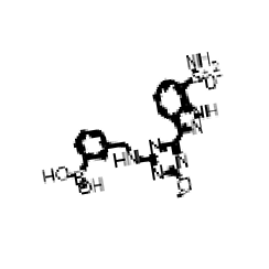 COc1nc(NCc2cccc(B(O)O)c2)nc(-c2n[nH]c3c([S+](N)[O-])cccc23)n1